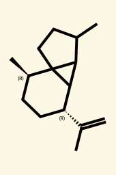 C=C(C)[C@@H]1CC[C@@H](C)C23CCC(C)C2C13